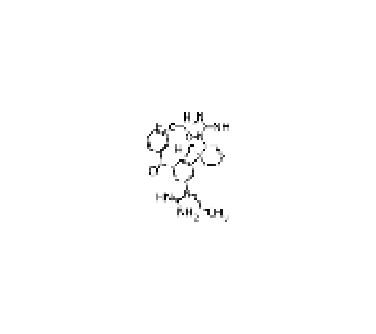 CCON(C(=N)N)c1cc(C(=O)c2ccccc2)cc(C2(C)C=CC=CC2N(OCC)C(=N)N)c1